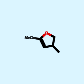 COC1=CC(C)CO1